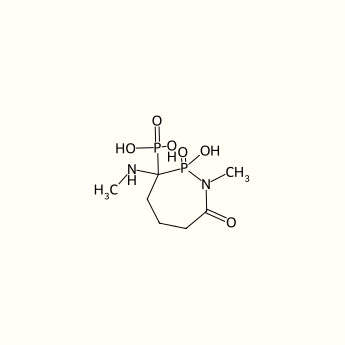 CNC1(P(=O)(O)O)CCCC(=O)N(C)P1(=O)O